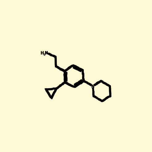 NCCc1ccc(N2CCCCC2)cc1C1CC1